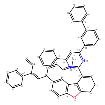 C=C/C(=C\C(/C=C\C=C/CC)c1ccc2oc3c(c2c1)C(c1nc(-c2ccccc2)cc(-c2cccc(-c4ccccc4)c2)n1)=CCC3)c1ccccc1